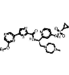 CCOc1cncc(-c2cnc(C(=O)N[C@H](CN3CCN(C)CC3)c3cc(NS(=O)(=O)C4CC4)ccn3)s2)n1